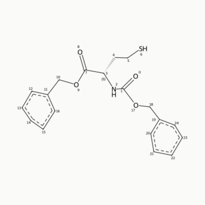 O=C(N[C@@H](CCS)C(=O)OCc1ccccc1)OCc1ccccc1